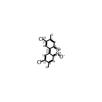 Cc1cc2n[n+]([O-])c3cc(C)c(Cl)cc3c2cc1Cl